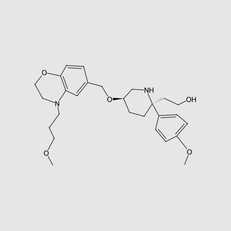 COCCCN1CCOc2ccc(CO[C@@H]3CC[C@](CCO)(c4ccc(OC)cc4)NC3)cc21